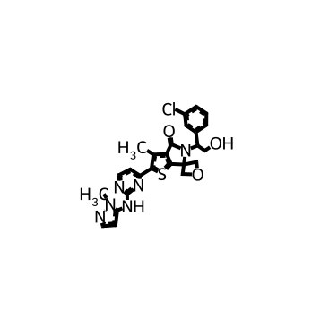 Cc1c(-c2ccnc(Nc3ccnn3C)n2)sc2c1C(=O)N(C(CO)c1cccc(Cl)c1)C21COC1